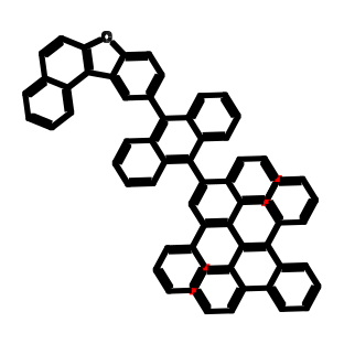 c1ccc(-c2cc(-c3c4ccccc4c(-c4ccc5oc6ccc7ccccc7c6c5c4)c4ccccc34)c3ccccc3c2-c2c(-c3ccccc3)c3ccccc3c3ccccc23)cc1